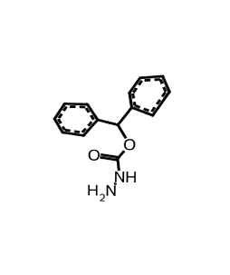 NNC(=O)OC(c1ccccc1)c1ccccc1